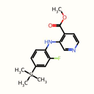 COC(=O)c1ccncc1Nc1ccc([Si](C)(C)C)cc1F